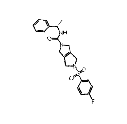 C[C@H](NC(=O)N1CC2=C(C1)CN(S(=O)(=O)c1ccc(F)cc1)C2)c1ccccc1